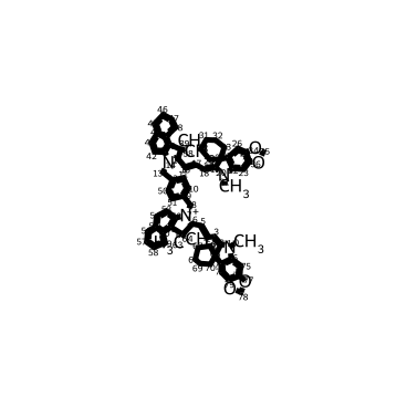 CN1/C(=C/C=C/C2=[N+](Cc3ccc(C[N+]4=C(/C=C/C=C5/N(C)c6cc7c(cc6C56CCCCC6)OCO7)C(C)(C)c5c4ccc4ccccc54)cc3)c3ccc4ccccc4c3C2(C)C)C2(CCCCC2)c2cc3c(cc21)OCO3